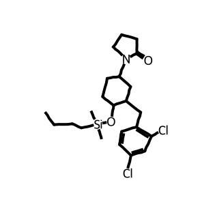 CCCC[Si](C)(C)OC1CCC(N2CCCC2=O)CC1Cc1ccc(Cl)cc1Cl